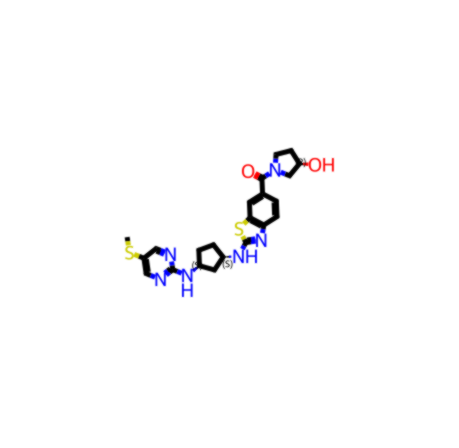 CSc1cnc(N[C@H]2CC[C@H](Nc3nc4ccc(C(=O)N5CC[C@@H](O)C5)cc4s3)C2)nc1